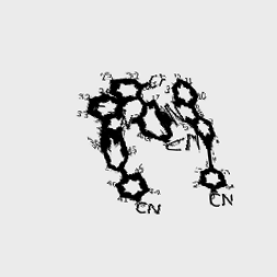 N#Cc1ccc(-c2ccc3c4ccccc4n(-c4cc(-c5c(C(F)(F)F)cccc5C(F)(F)F)c(-n5c6ccccc6c6ccc(-c7ccc(C#N)cc7)cc65)cc4C#N)c3c2)cc1